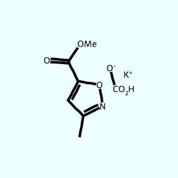 COC(=O)c1cc(C)no1.O=C([O-])O.[K+]